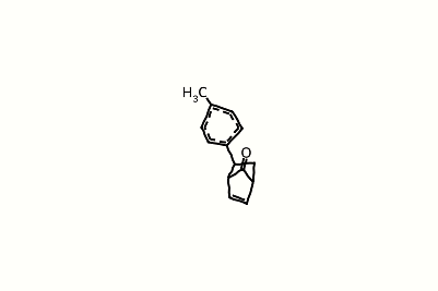 Cc1ccc(C2CC3C=CC2C3=O)cc1